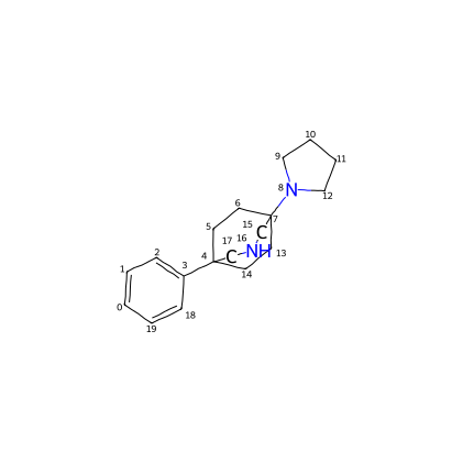 c1ccc(C23CCC(N4CCCC4)(CC2)CNC3)cc1